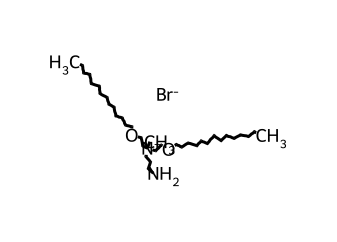 CCCCCCCCCCCCCCOCC[N+](C)(CCCN)CCOCCCCCCCCCCCCCC.[Br-]